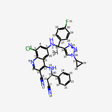 [2H][C@](Nc1cc(Cl)c2ncc(C#N)c(N[C@H](CC#N)c3ccccc3)c2c1)(c1ccc(F)cc1)c1cn(C2CC2)nn1